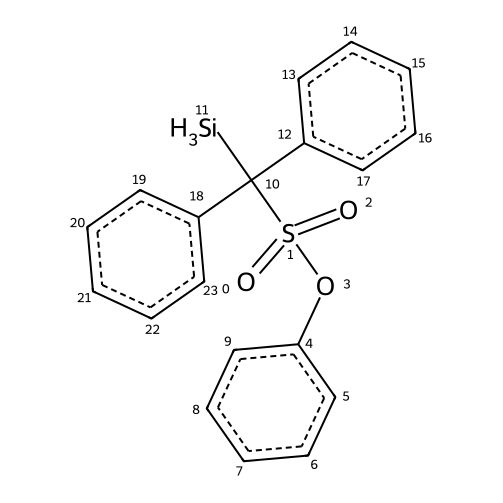 O=S(=O)(Oc1ccccc1)C([SiH3])(c1ccccc1)c1ccccc1